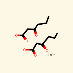 CCCC(=O)CC(=O)[O-].CCCC(=O)CC(=O)[O-].[Co+2]